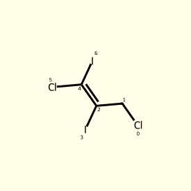 ClCC(I)=C(Cl)I